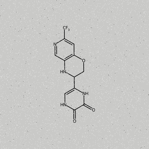 O=c1[nH]cc(C2COc3cc(C(F)(F)F)ncc3N2)[nH]c1=O